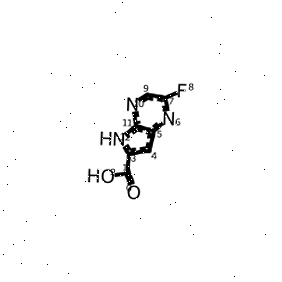 O=C(O)c1cc2nc(F)cnc2[nH]1